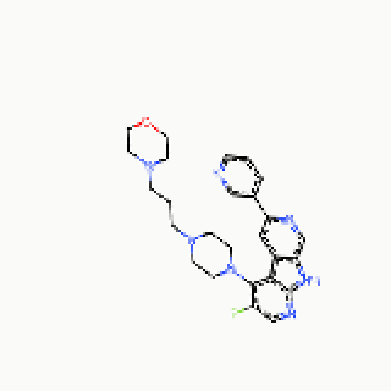 Fc1cnc2[nH]c3cnc(-c4cccnc4)cc3c2c1N1CCN(CCCN2CCOCC2)CC1